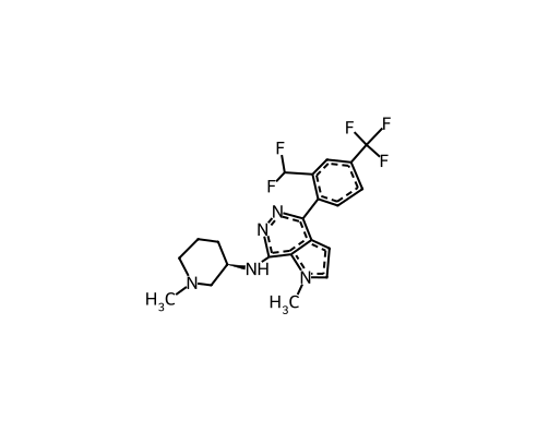 CN1CCC[C@@H](Nc2nnc(-c3ccc(C(F)(F)F)cc3C(F)F)c3ccn(C)c23)C1